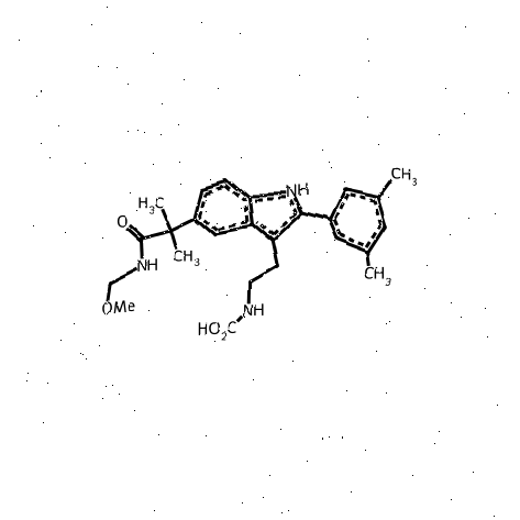 COCNC(=O)C(C)(C)c1ccc2[nH]c(-c3cc(C)cc(C)c3)c(CCNC(=O)O)c2c1